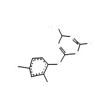 CCCCCCCCCCC1N=C(N)NC(Nc2ccc(F)cc2F)=N1